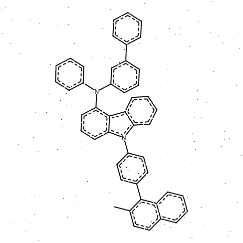 Cc1ccc2ccccc2c1-c1ccc(-n2c3ccccc3c3c(N(c4ccccc4)c4cccc(-c5ccccc5)c4)cccc32)cc1